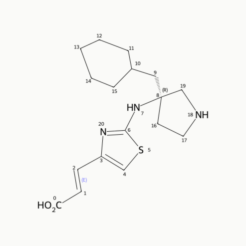 O=C(O)/C=C/c1csc(N[C@]2(CC3CCCCC3)CCNC2)n1